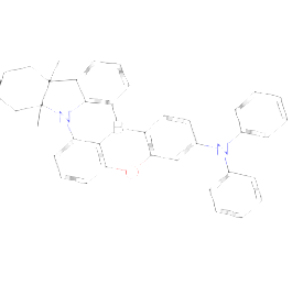 CC12CCCCC1(C)N1c3cccc4c3B(c3ccc(N(c5ccccc5)c5ccccc5)cc3O4)c3cccc2c31